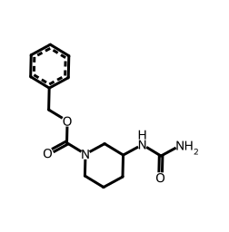 NC(=O)NC1CCCN(C(=O)OCc2ccccc2)C1